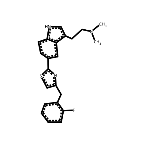 CN(C)CCc1c[nH]c2ccc(-c3nc(Cc4ccccc4F)cs3)cc12